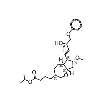 CO[C@@H]1C[C@@H]2OC[C@@H](CCCC(=O)OC(C)C)CC[C@@H]2[C@H]1/C=C/[C@@H](O)COc1ccccc1